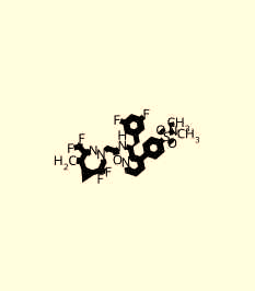 C=C1/C(C(F)F)=N\N(CC(=O)N[C@@H](Cc2cc(F)cc(F)c2)c2ncccc2-c2ccc(S(=O)(=O)N(C)C)cc2)CC(F)(F)C2CC12